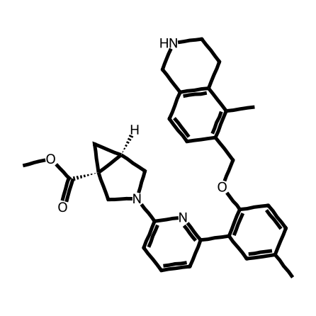 COC(=O)[C@]12C[C@H]1CN(c1cccc(-c3cc(C)ccc3OCc3ccc4c(c3C)CCNC4)n1)C2